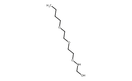 CCCCOCCOCCONCO